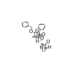 C[C@H](NP(=O)(OC[C@@H]1C(=O)[C@@H]2CCN1C2)Oc1ccccc1)C(=O)OCc1ccccc1